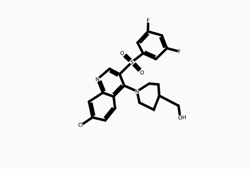 O=S(=O)(c1cc(F)cc(F)c1)c1cnc2cc(Cl)ccc2c1N1CCC(CO)CC1